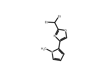 CCC(CC)c1nc(-c2cccn2C)co1